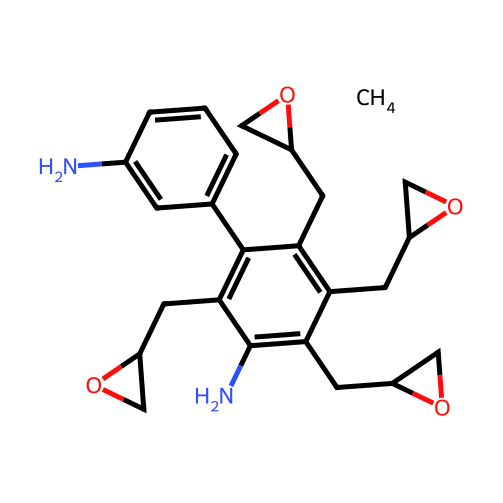 C.Nc1cccc(-c2c(CC3CO3)c(N)c(CC3CO3)c(CC3CO3)c2CC2CO2)c1